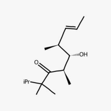 C/C=C/[C@H](C)[C@H](O)[C@@H](C)C(=O)C(C)(C)C(C)C